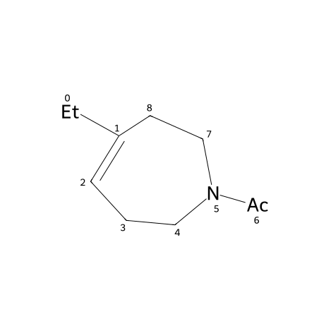 CCC1=CCCN(C(C)=O)CC1